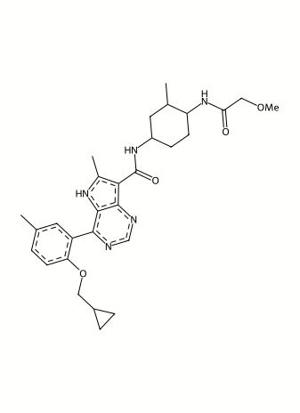 COCC(=O)NC1CCC(NC(=O)c2c(C)[nH]c3c(-c4cc(C)ccc4OCC4CC4)ncnc23)CC1C